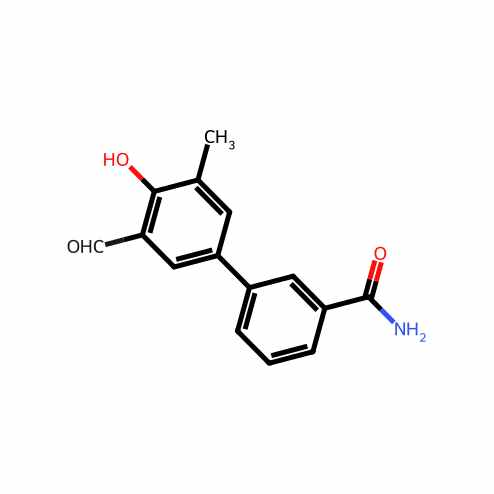 Cc1cc(-c2cccc(C(N)=O)c2)cc(C=O)c1O